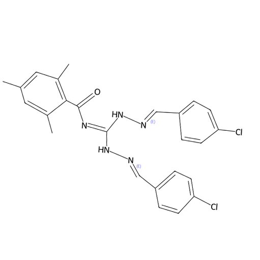 Cc1cc(C)c(C(=O)N=C(N/N=C/c2ccc(Cl)cc2)N/N=C/c2ccc(Cl)cc2)c(C)c1